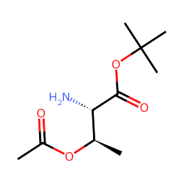 CC(=O)O[C@H](C)[C@H](N)C(=O)OC(C)(C)C